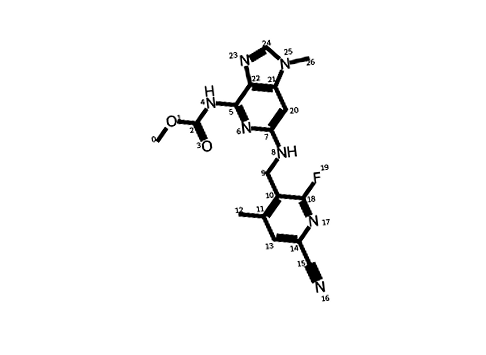 COC(=O)Nc1nc(NCc2c(C)cc(C#N)nc2F)cc2c1ncn2C